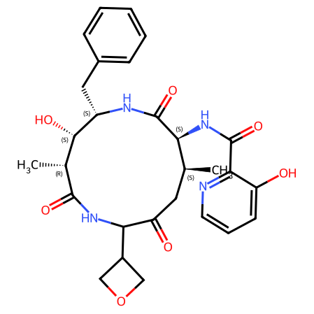 C[C@H]1CC(=O)C(C2COC2)NC(=O)[C@H](C)[C@H](O)[C@H](Cc2ccccc2)NC(=O)[C@H]1NC(=O)c1ncccc1O